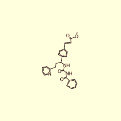 COC(=O)C=Cc1ccc(C(CCc2ccccn2)NC(=O)NC(=O)c2ccccc2)cc1